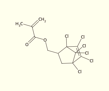 C=C(C)C(=O)OCC1CC2(Cl)C(Cl)=C(Cl)C1(Cl)C2(Cl)Cl